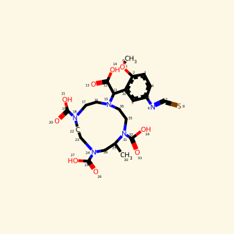 COc1ccc(N=C=S)cc1C(C(=O)O)N1CCN(C(=O)O)CCN(C(=O)O)CC(C)N(C(=O)O)CC1